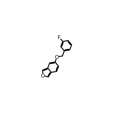 Fc1cccc(COc2ccc3cocc3c2)c1